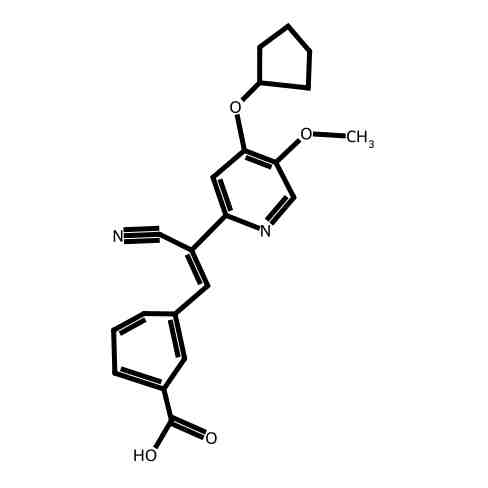 COc1cnc(/C(C#N)=C/c2cccc(C(=O)O)c2)cc1OC1CCCC1